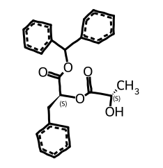 C[C@H](O)C(=O)O[C@@H](Cc1ccccc1)C(=O)OC(c1ccccc1)c1ccccc1